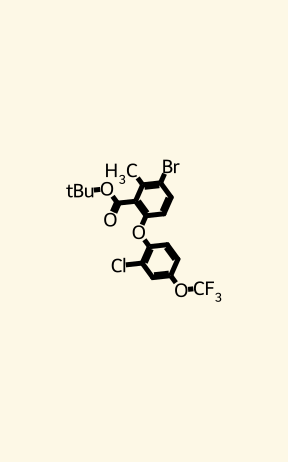 Cc1c(Br)ccc(Oc2ccc(OC(F)(F)F)cc2Cl)c1C(=O)OC(C)(C)C